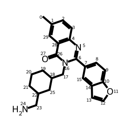 Cc1ccc2nc(-c3ccc4occc4c3)n(CC3CCCC(CN)C3)c(=O)c2c1